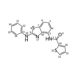 O=C(Nc1cccc2sc(Nc3ccccc3)nc12)c1cccs1